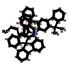 C\C=C/C=C\C(=C1/C=CC=CC1C)N(c1ccc2c(c1)C(C)(C)c1ccccc1-2)c1cccc2c1C1(c3ccccc3-2)c2ccccc2-c2c1ccc1c2oc2ccccc21